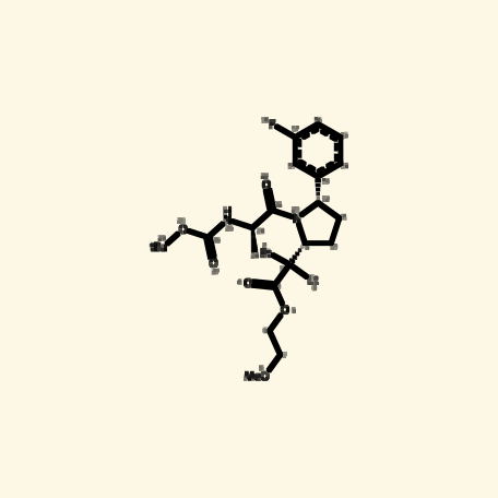 CCC(CC)(C(=O)OCCOC)[C@H]1CC[C@@H](c2cccc(F)c2)N1C(=O)[C@@H](C)NC(=O)OC(C)(C)C